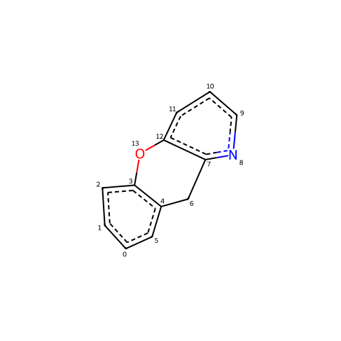 c1ccc2c(c1)Cc1ncccc1O2